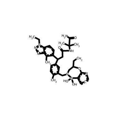 CCC1CN(Cc2cc(C(CC(=O)NC(C)(C)C(N)=O)c3ccc4c(nnn4CC)c3C)ccc2C)S(O)(O)c2cccnc2O1